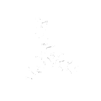 N=C(N)N1CCC[C@@H](CNC(=O)C[C@H](NS(=O)(=O)c2ccc3ccccc3c2)C(=O)N(CCNC(=O)CCl)C2CC2)C1